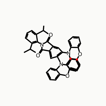 CC(C)c1cccc(C(C)C)c1N1C(=O)c2cc(N3c4ccccc4Oc4ccccc43)c(N3c4ccccc4Oc4ccccc43)cc2C1=O